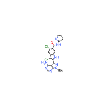 CC(C)(C)n1nc(-c2[nH]c3cc(C(=O)Nc4ccccn4)c(Cl)cc3c2Cl)c2c(N)ncnc21